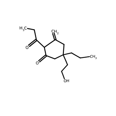 C=C1CC(CCC)(CCO)CC(=O)C1C(=O)CC